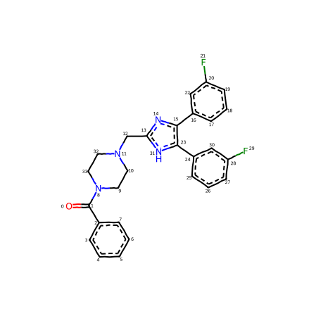 O=C(c1ccccc1)N1CCN(Cc2nc(-c3cccc(F)c3)c(-c3cccc(F)c3)[nH]2)CC1